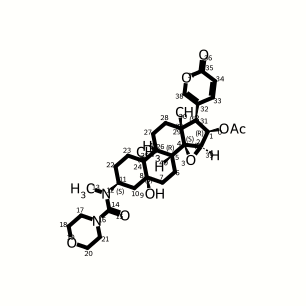 CC(=O)O[C@H]1[C@H]2O[C@]23[C@@H]2CC[C@]4(O)C[C@@H](N(C)C(=O)N5CCOCC5)CC[C@]4(C)[C@H]2CC[C@]3(C)[C@H]1c1ccc(=O)oc1